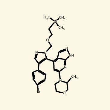 CC1COCCN1c1cc(-c2c(-c3ccc(Br)cc3)cnn2COCC[Si](C)(C)C)c2cn[nH]c2n1